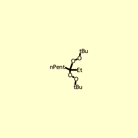 CCCCCC(CC)(OOC(C)(C)C)OOC(C)(C)C